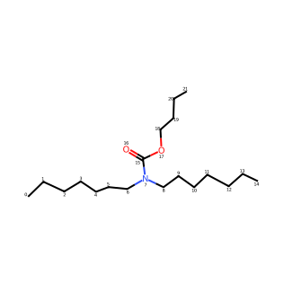 CCCCCCCN(CCCCCCC)C(=O)OCCCC